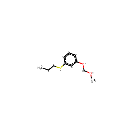 CCCSc1cccc(OCOC)c1